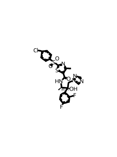 Cc1nc(S(=O)(=O)c2ccc(Cl)cc2)sc1C(=O)N[C@H](C)[C@](O)(Cn1cncn1)c1ccc(F)cc1F